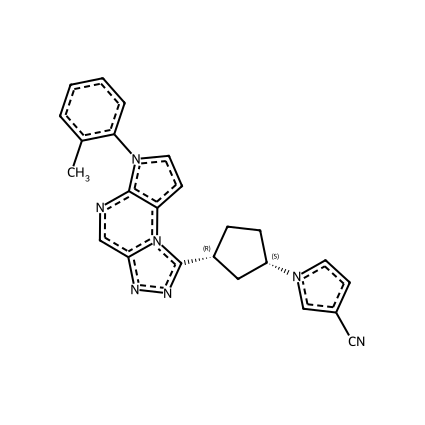 Cc1ccccc1-n1ccc2c1ncc1nnc([C@@H]3CC[C@H](n4ccc(C#N)c4)C3)n12